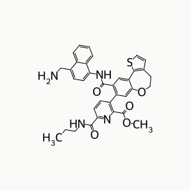 CCCNC(=O)c1ccc(-c2cc3c(cc2C(=O)Nc2ccc(CN)c4ccccc24)-c2sccc2CCO3)c(C(=O)OC)n1